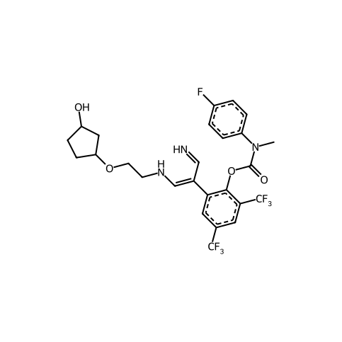 CN(C(=O)Oc1c(/C(C=N)=C/NCCOC2CCC(O)C2)cc(C(F)(F)F)cc1C(F)(F)F)c1ccc(F)cc1